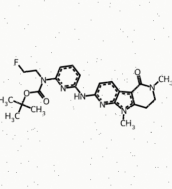 CN1CCc2c(c3ccc(Nc4cccc(N(CCF)C(=O)OC(C)(C)C)n4)nc3n2C)C1=O